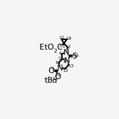 CCOC(=O)C1(CN2CC3CN(C(=O)OC(C)(C)C)CCN3C2=S)CC1